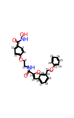 O=C(NO)c1ccc(OCCNC(=O)c2cc3cccc(COc4ccccc4)c3o2)cc1